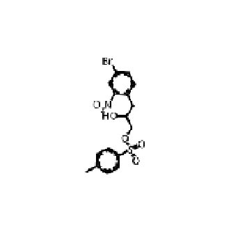 Cc1ccc(S(=O)(=O)OCC(O)Cc2ccc(Br)cc2[N+](=O)[O-])cc1